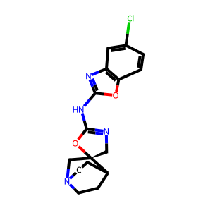 Clc1ccc2oc(NC3=NC[C@@]4(CN5CCC4CC5)O3)nc2c1